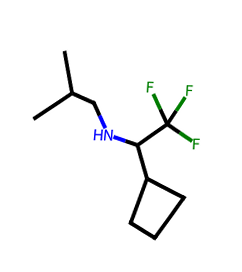 CC(C)CNC(C1CCC1)C(F)(F)F